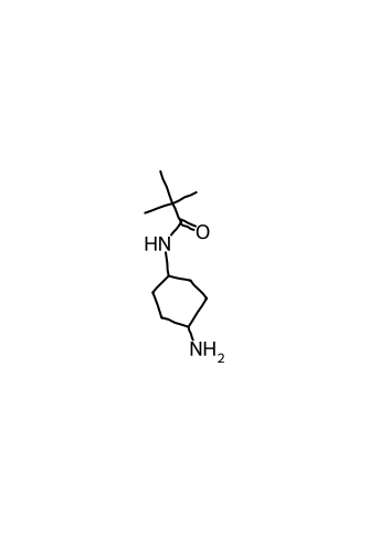 CC(C)(C)C(=O)NC1CCC(N)CC1